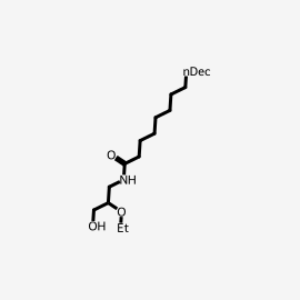 CCCCCCCCCCCCCCCCCC(=O)NCC(CO)OCC